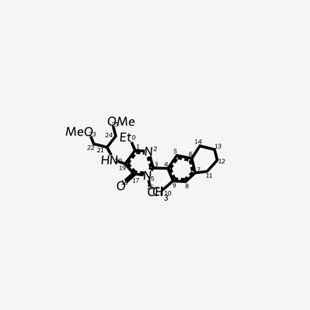 CCc1nc(-c2cc3c(cc2Cl)CCCC3)n(C)c(=O)c1NC(COC)COC